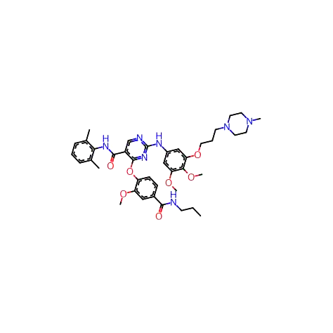 CCCNC(=O)c1ccc(Oc2nc(Nc3cc(OC)c(OC)c(OCCCN4CCN(C)CC4)c3)ncc2C(=O)Nc2c(C)cccc2C)c(OC)c1